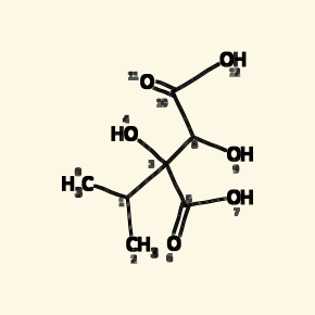 CC(C)C(O)(C(=O)O)C(O)C(=O)O